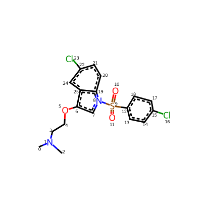 CN(C)CCOc1cn(S(=O)(=O)c2ccc(Cl)cc2)c2ccc(Cl)cc12